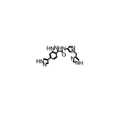 O=C(Nc1cnn(Cc2c[nH]cn2)c1)c1n[nH]c2cc(-c3cn[nH]c3)ccc12